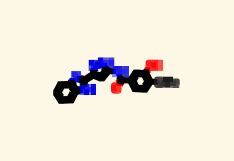 COc1ccc(C(=O)Nc2cc(-c3nc4ccccc4[nH]3)n[nH]2)cc1O